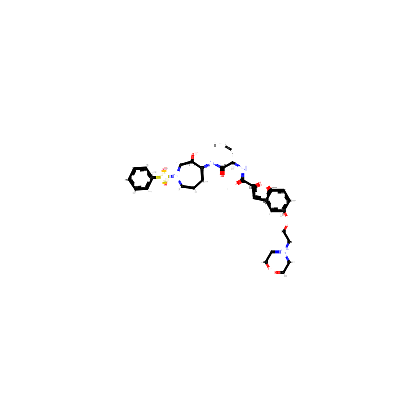 CC(C)C[C@H](NC(=O)c1cc2cc(OCCN3CCOCC3)ccc2o1)C(=O)NC1CCCN(S(=O)(=O)c2ccccc2)CC1O